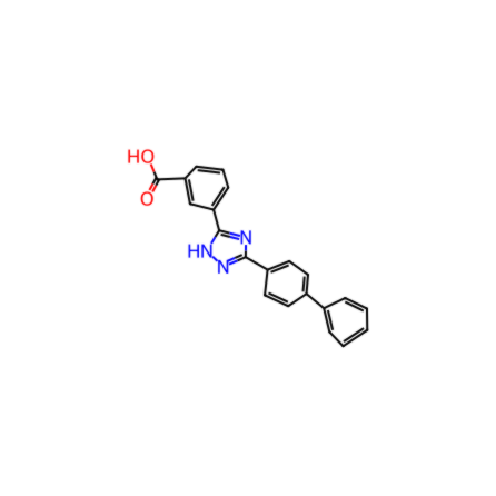 O=C(O)c1cccc(-c2nc(-c3ccc(-c4ccccc4)cc3)n[nH]2)c1